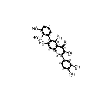 O=C(O)c1c(O)cccc1-c1c(O)cc2oc(-c3ccc(O)c(O)c3)c(O)c(=O)c2c1O